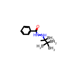 BC(B)(B)C(B)(C)NNC(=O)c1ccccc1